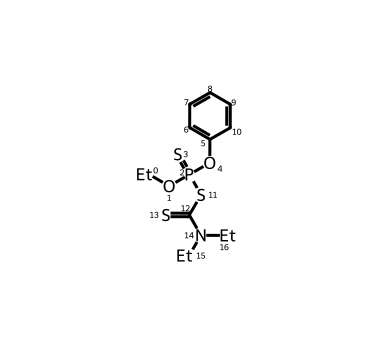 CCOP(=S)(Oc1ccccc1)SC(=S)N(CC)CC